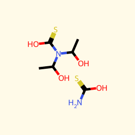 CC(O)N(C(O)=S)C(C)O.NC(O)=S